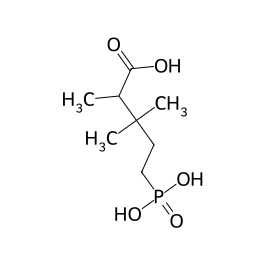 CC(C(=O)O)C(C)(C)CCP(=O)(O)O